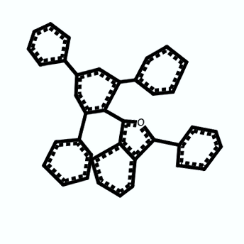 c1ccc(-c2cc(-c3ccccc3)c(-c3oc(-c4ccccc4)c4ccccc34)c(-c3ccccc3)c2)cc1